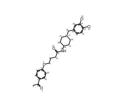 CC(=O)c1ccc(OCCCC(=O)NC2CCN(Cc3ccc(Cl)c(Cl)c3)CC2)cc1